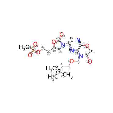 C[Si](C)(C)CCOCN1C(=O)COc2ncc(-n3cc(CCOS(C)(=O)=O)oc3=O)nc21